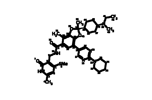 CSc1cc(C)[nH]c(=O)c1CNC(=O)c1cc(-c2cnc(N3CCCCC3)nc2)c2c(c1C)OC(C)([C@H]1CC[C@H](N(C)CC(F)(F)F)CC1)O2